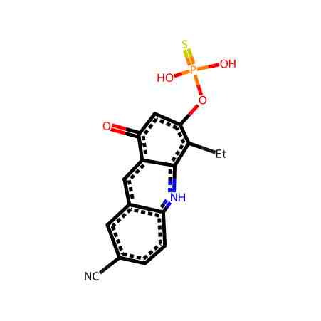 CCc1c(OP(O)(O)=S)cc(=O)c2cc3cc(C#N)ccc3[nH]c1-2